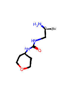 CCC(C)[C@H](N)CNC(=O)NC1CCOCC1